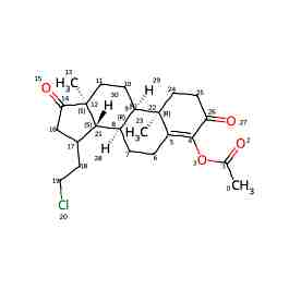 CC(=O)OC1=C2CC[C@@H]3[C@@H](CC[C@]4(C)C(=O)CC(CCCl)[C@@H]34)[C@@]2(C)CCC1=O